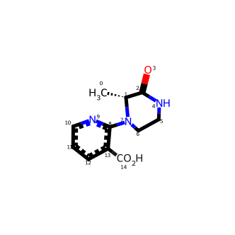 C[C@@H]1C(=O)NCCN1c1ncccc1C(=O)O